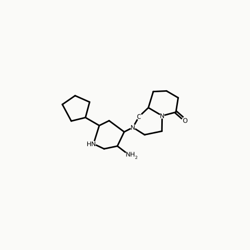 NC1CNC(C2CCCC2)CC1N1CCN2C(=O)CCCC2C1